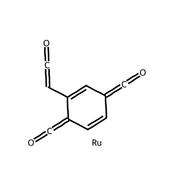 O=C=Cc1cc(=C=O)ccc1=C=O.[Ru]